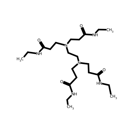 CCNC(=O)CCN(CCC(=O)NCC)CCN(CCC(=O)NCC)CCC(=O)NCC